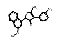 CCOc1cc(C2SC(N)=C(c3cccc(C(F)(F)F)c3)C2=O)c2ccccc2c1